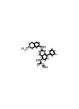 CN1CCc2ccc(Nc3ncc4c(NC(=O)OC(C)(C)C)ccc(-c5ccccc5)c4n3)cc2C1